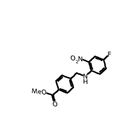 COC(=O)c1ccc(CNc2ccc(F)cc2[N+](=O)[O-])cc1